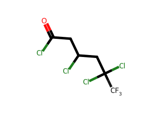 O=C(Cl)CC(Cl)CC(Cl)(Cl)C(F)(F)F